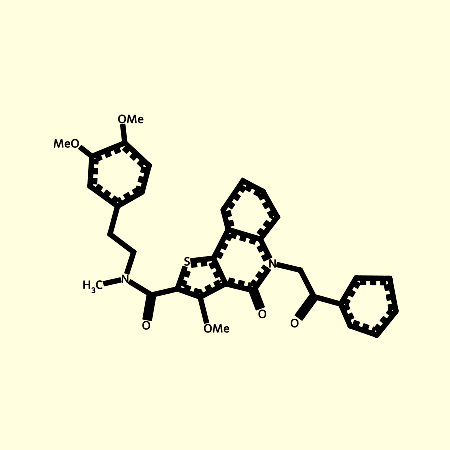 COc1ccc(CCN(C)C(=O)c2sc3c(c2OC)c(=O)n(CC(=O)c2ccccc2)c2ccccc32)cc1OC